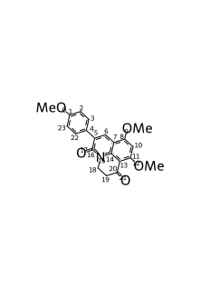 COc1ccc(-c2cc3c(OC)cc(OC)c4c3n(c2=O)CCC4=O)cc1